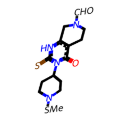 CSN1CCC(n2c(=S)[nH]c3c(c2=O)CCN(C=O)C3)CC1